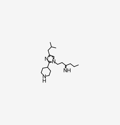 CCCC(=N)CCn1cc(CC(C)C)nc1C1CCNCC1